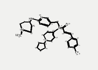 CN1CCC(Nc2ccc(CN(C(=O)C=Cc3ccc(C(F)(F)F)cc3)C3CCN(C4CCCC4)CC3)cn2)CC1